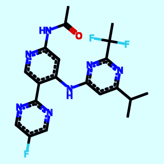 CC(=O)Nc1cc(Nc2cc(C(C)C)nc(C(C)(F)F)n2)c(-c2ncc(F)cn2)cn1